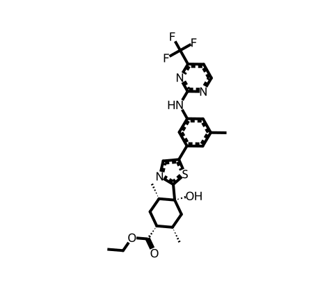 CCOC(=O)[C@@H]1C[C@H](C)[C@@](O)(c2ncc(-c3cc(C)cc(Nc4nccc(C(F)(F)F)n4)c3)s2)C[C@@H]1C